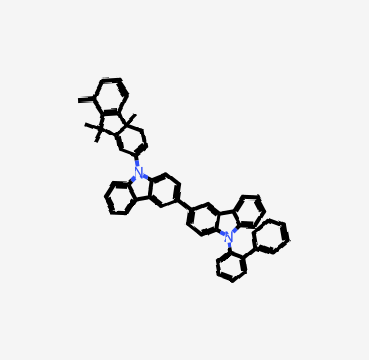 CC1CC=CC2=C1C(C)(C)C1=CC(n3c4ccccc4c4cc(-c5ccc6c(c5)c5ccccc5n6-c5ccccc5C5=CC=CCC5)ccc43)=CCC12C